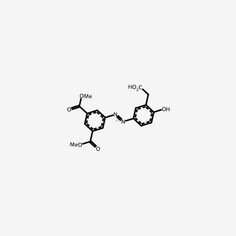 COC(=O)c1cc(/N=N/c2ccc(O)c(CC(=O)O)c2)cc(C(=O)OC)c1